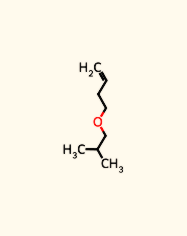 C=CCCOCC(C)C